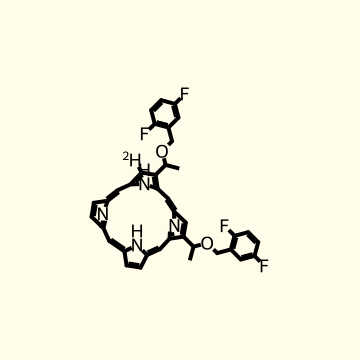 [2H]c1c(C(C)OCc2cc(F)ccc2F)c2cc3nc(cc4ccc(cc5nc(cc1[nH]2)C=C5)[nH]4)C(C(C)OCc1cc(F)ccc1F)=C3